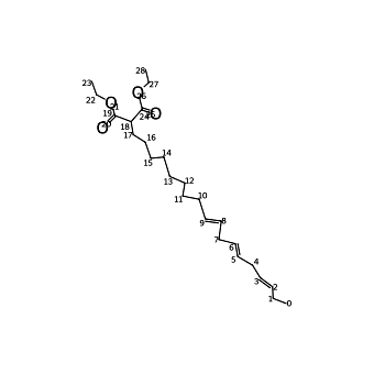 CCC=CCC=CCC=CCCCCCCCCC(C(=O)OCC)C(=O)OCC